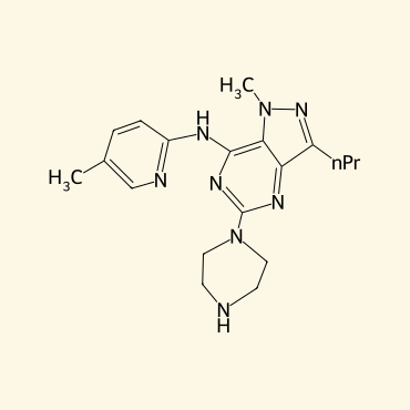 CCCc1nn(C)c2c(Nc3ccc(C)cn3)nc(N3CCNCC3)nc12